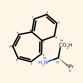 C1=CC=C2CC=CC=C2C=C1.CC(C)[C@H](N)C(=O)O